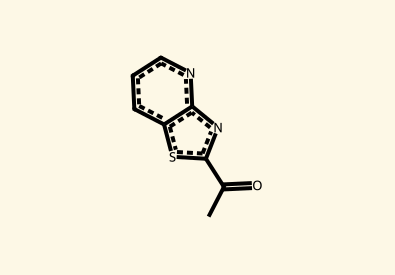 CC(=O)c1nc2ncccc2s1